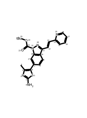 Cc1nc(N)sc1-c1ccc2c(/C=C/c3ccccn3)nn(C(=O)OC(C)(C)C)c2c1